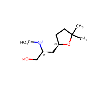 CC1(C)CC[C@H](C[C@H](CO)NC(=O)O)O1